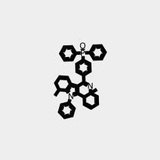 CC1CC=Cc2c3c(n(-c4ccccc4)c21)C1C=CC=CC1(C)N=C3c1ccc(P(=O)(c2ccccc2)c2ccccc2)cc1